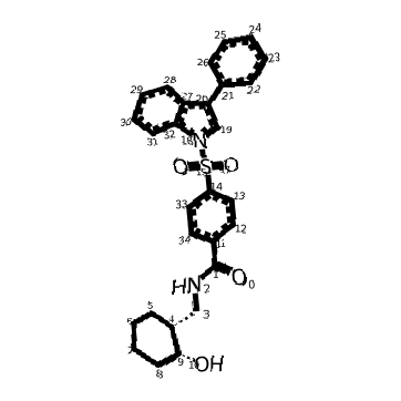 O=C(NC[C@H]1CCCC[C@H]1O)c1ccc(S(=O)(=O)n2cc(-c3ccccc3)c3ccccc32)cc1